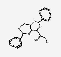 OCC(O)C1OC(c2ccccc2)OC2COC(c3ccccc3)OC21